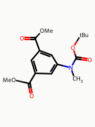 COC(=O)c1cc(C(=O)OC)cc(N(C)C(=O)OC(C)(C)C)c1